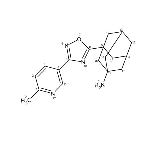 Cc1ccc(-c2noc(C34CC5CC(CC(N)(C5)C3)C4)n2)cn1